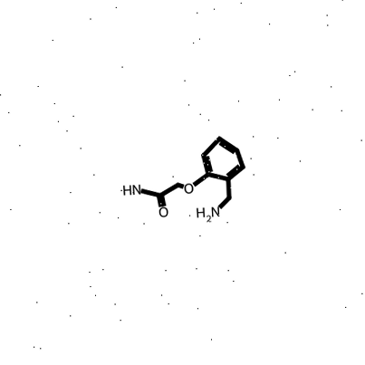 [NH]C(=O)COc1ccccc1CN